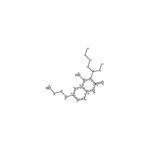 CCCCC(CC)c1c(O)c2cc(OCCO)ccc2oc1=O